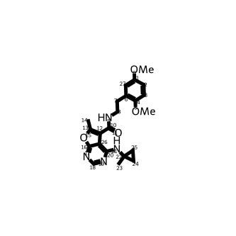 COc1ccc(OC)c(CCNC(=O)c2c(C)oc3ncnc(NC4(C)CC4)c23)c1